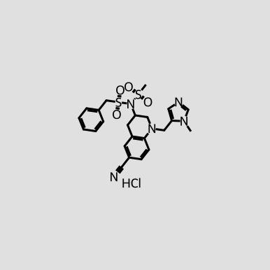 Cl.Cn1cncc1CN1CC(N(S(C)(=O)=O)S(=O)(=O)Cc2ccccc2)Cc2cc(C#N)ccc21